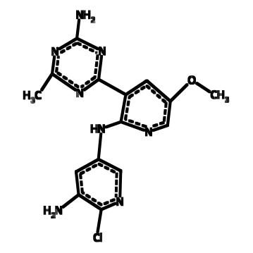 COc1cnc(Nc2cnc(Cl)c(N)c2)c(-c2nc(C)nc(N)n2)c1